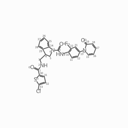 O=C(NCC1CN(C(=O)Nc2ccc(-n3ccccc3=O)cc2F)c2ccccc21)c1ccc(Cl)s1